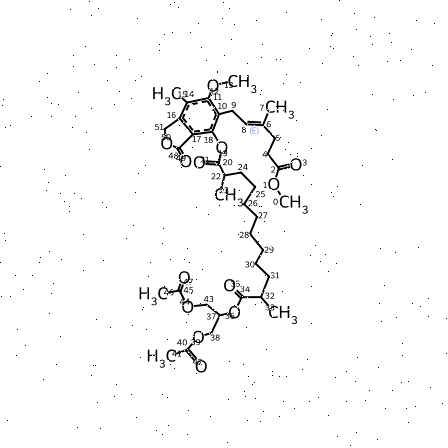 COC(=O)CC/C(C)=C/Cc1c(OC)c(C)c2c(c1OC(=O)C(C)CCCCCCCCC(C)C(=O)OC(COC(C)=O)COC(C)=O)C(=O)OC2